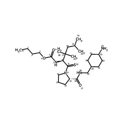 CCCCOC(=O)N[C@H](C(=S)N1CCC[C@H]1C(=O)NCC1CCC(N)CC1)C(C)(C)CC(C)C